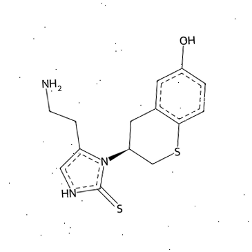 NCCc1c[nH]c(=S)n1[C@@H]1CSc2ccc(O)cc2C1